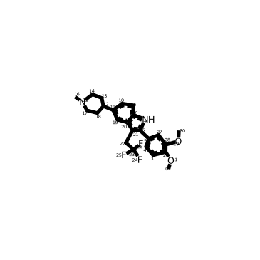 COc1ccc(-c2[nH]c3ccc(C4CCN(C)CC4)cc3c2CC(F)(F)F)cc1OC